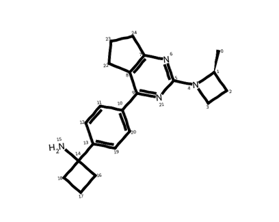 C[C@H]1CCN1c1nc2c(c(-c3ccc(C4(N)CCC4)cc3)n1)CCC2